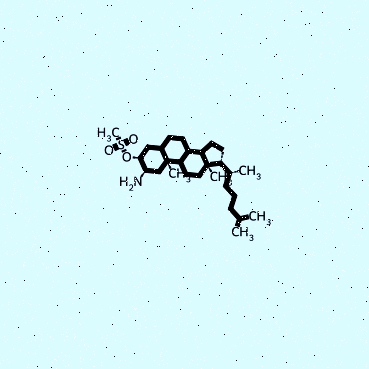 CC(C)CCC[C@@H](C)[C@H]1CCC2C3CCC4C[C@@H](OS(C)(=O)=O)[C@@H](N)C[C@]4(C)C3CC[C@@]21C